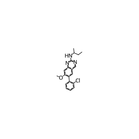 CCC(C)Nc1ncc2cc(-c3ccccc3Cl)c(OC)cc2n1